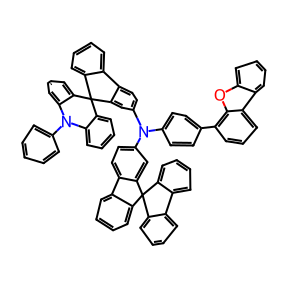 c1ccc(N2c3ccccc3C3(c4ccccc4-c4ccc(N(c5ccc(-c6cccc7c6oc6ccccc67)cc5)c5ccc6c(c5)C5(c7ccccc7-c7ccccc75)c5ccccc5-6)cc43)c3ccccc32)cc1